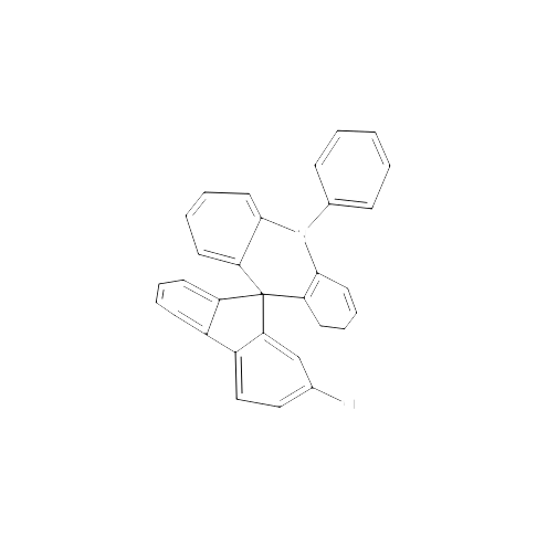 Cc1ccc2c(c1)C1(C3=C(C=CCC3)N(c3ccccc3)c3ccccc31)c1ccccc1-2